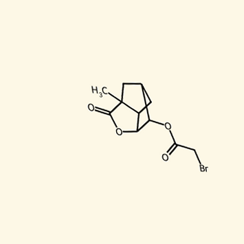 CC12CC3CC1C(OC2=O)C3OC(=O)CBr